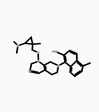 Cc1cccc2c(N3CCC4=C(C3)N(OCC3(C)CC3N(C)C)CN=C4)c(O)ccc12